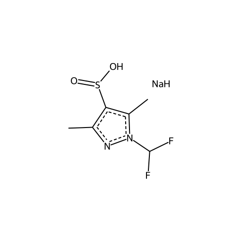 Cc1nn(C(F)F)c(C)c1S(=O)O.[NaH]